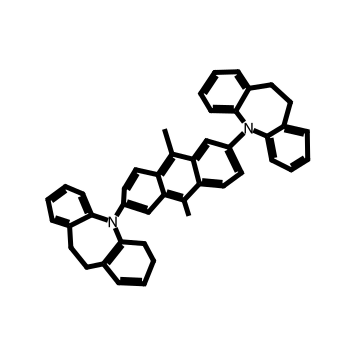 Cc1c2ccc(N3c4ccccc4CCc4ccccc43)cc2c(C)c2ccc(N3C4=C(C=CCC4)CCc4ccccc43)cc12